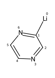 [Li][c]1cnccn1